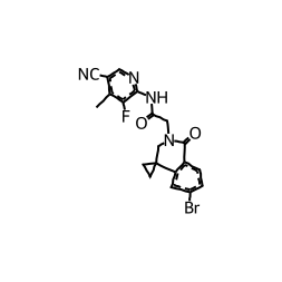 Cc1c(C#N)cnc(NC(=O)CN2CC3(CC3)c3cc(Br)ccc3C2=O)c1F